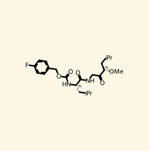 CO[C@@H](CC(C)C)C(=O)CNC(=O)[C@H](CC(C)C)NC(=O)OCc1ccc(F)cc1